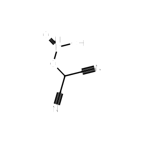 N#CC(C#N)O[PH](=O)O